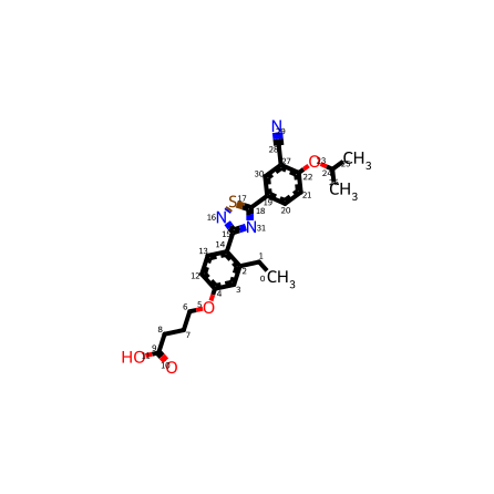 CCc1cc(OCCCC(=O)O)ccc1-c1nsc(-c2ccc(OC(C)C)c(C#N)c2)n1